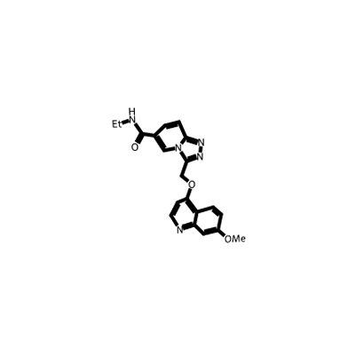 CCNC(=O)c1ccc2nnc(COc3ccnc4cc(OC)ccc34)n2c1